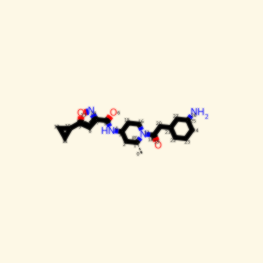 C[C@@H]1CC(NC(=O)c2cc(C3CC3)on2)CCN1C(=O)CC1CCCC(N)C1